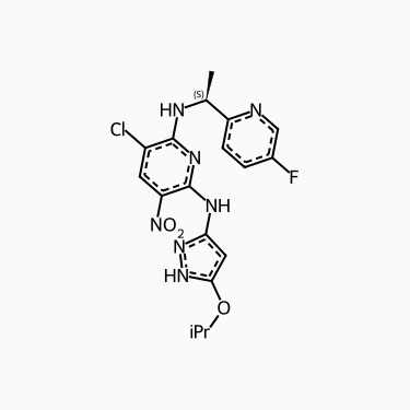 CC(C)Oc1cc(Nc2nc(N[C@@H](C)c3ccc(F)cn3)c(Cl)cc2[N+](=O)[O-])n[nH]1